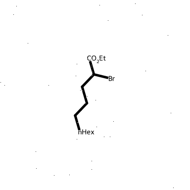 CCCCCCCCCC(Br)C(=O)OCC